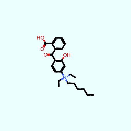 CCCCCC[N+](CC)(CC)c1ccc(C(=O)c2ccccc2C(=O)O)c(O)c1